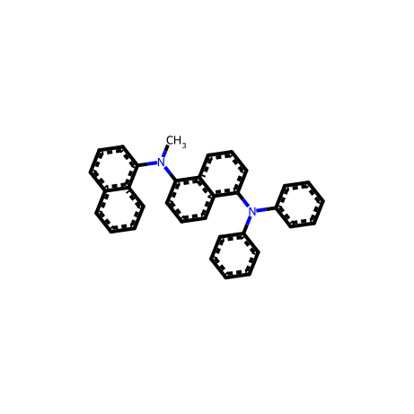 CN(c1cccc2ccccc12)c1cccc2c(N(c3ccccc3)c3ccccc3)cccc12